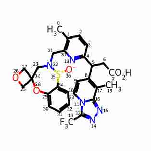 Cc1ccc(C(CC(=O)O)c2ccn3c(C(F)(F)F)nnc3c2C)nc1CN1CC2(COC2)Oc2ccccc2[S+]1[O-]